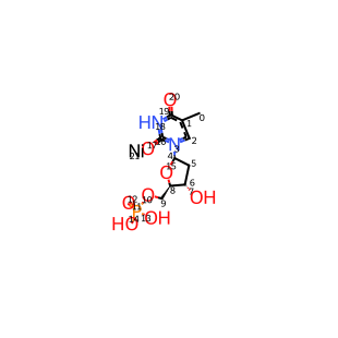 Cc1cn([C@H]2C[C@H](O)[C@@H](COP(=O)(O)O)O2)c(=O)[nH]c1=O.[Ni]